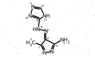 CC1=NN=C(N)/C1=N/Nc1nnc[nH]1